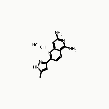 Cc1cc(-c2ccc3c(N)nc(N)cc3n2)n[nH]1.Cl.Cl